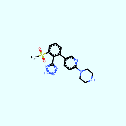 CS(=O)(=O)c1cccc(-c2ccc(N3CCNCC3)nc2)c1-c1nn[nH]n1